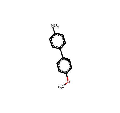 O=[N+]([O-])c1ccc(-c2ccc(OC(F)(F)F)cc2)cc1